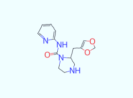 O=C(Nc1ccccn1)N1CCNCC1CC1=COCO1